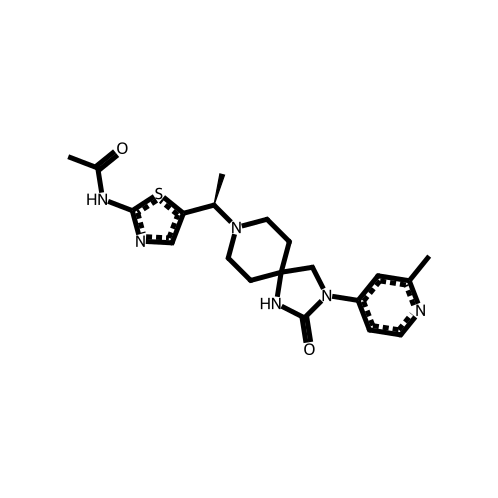 CC(=O)Nc1ncc([C@@H](C)N2CCC3(CC2)CN(c2ccnc(C)c2)C(=O)N3)s1